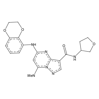 CNc1cc(Nc2cccc3c2OCCO3)nc2c(C(=O)NC3CCOC3)cnn12